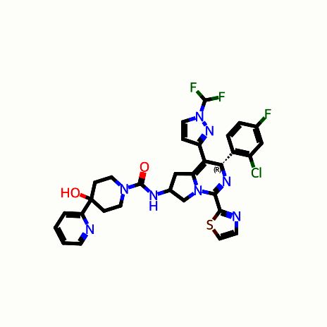 O=C(NC1CC2=C(c3ccn(C(F)F)n3)[C@H](c3ccc(F)cc3Cl)N=C(c3nccs3)N2C1)N1CCC(O)(c2ccccn2)CC1